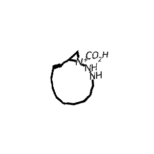 O=C(O)[N+]12CC1/C=C/CCCCCCCCNN2